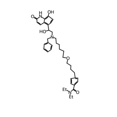 CCN(CC)C(=O)c1ccc(CCCCOCCCCCCN(Cc2ccccc2)CC(O)c2ccc(O)c3[nH]c(=O)ccc23)cc1